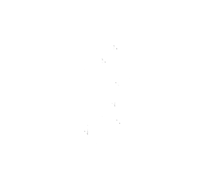 O=C(NO)c1cnc(N2CCN(S(=O)(=O)c3cccnc3N3CCOCC3)CC2)s1